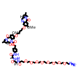 COc1cc2c(cc1OCCCCCOc1cc3c(cc1OC)C(=O)N1C=C(C)C[C@H]1[C@H](O)N3C(=O)OCc1ccc(NC(=O)[C@H](C)NC(=O)[C@@H](NC(=O)CCOCCOCCOCCOCCOCCOCCOCCOCCN=[N+]=[N-])C(C)C)cc1)N=C[C@@H]1CC(C)=CN1C2=O